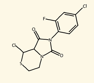 O=C1C2C(Cl)SCCN2C(=O)N1c1ccc(Cl)cc1F